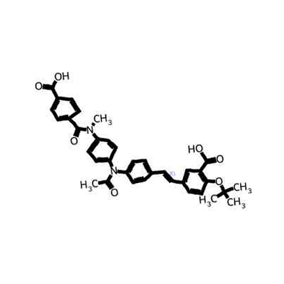 CC(=O)N(c1ccc(/C=C/c2ccc(OC(C)(C)C)c(C(=O)O)c2)cc1)c1ccc(N(C)C(=O)c2ccc(C(=O)O)cc2)cc1